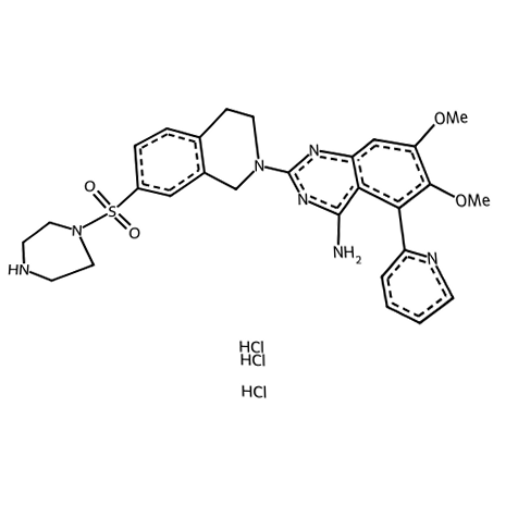 COc1cc2nc(N3CCc4ccc(S(=O)(=O)N5CCNCC5)cc4C3)nc(N)c2c(-c2ccccn2)c1OC.Cl.Cl.Cl